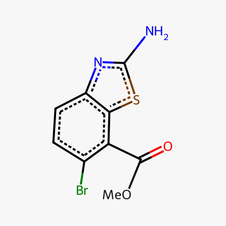 COC(=O)c1c(Br)ccc2nc(N)sc12